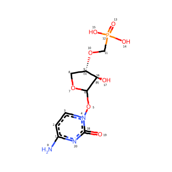 Nc1ccn(OC2OC[C@H](OCP(=O)(O)O)[C@H]2O)c(=O)n1